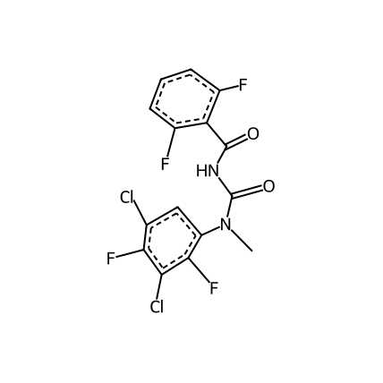 CN(C(=O)NC(=O)c1c(F)cccc1F)c1cc(Cl)c(F)c(Cl)c1F